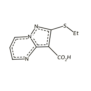 CCSc1nn2cccnc2c1C(=O)O